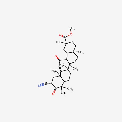 COC(=O)C1(C)CCC2(C)CCC3(C)C(C(=O)C=C4C5(C)CC(C#N)C(=O)C(C)(C)C5CCC43C)C2C1